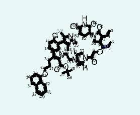 C=CC1=C(/C(=C\C)OCC(=O)N2C[C@@H]3C[C@H]2CN3CCn2c(C(=O)OC(C)(C)C)c(CCCOc3cccc4ccccc34)c3ccc(Cl)c(-c4c(C)nn(C)c4C)c32)CN(C2CCC(=O)NC2=O)C1=O